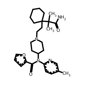 Cc1ccc(N(C(=O)c2ccco2)C2CCN(CCC3(C(C)(C)C(N)=O)CCCCC3)CC2)nc1